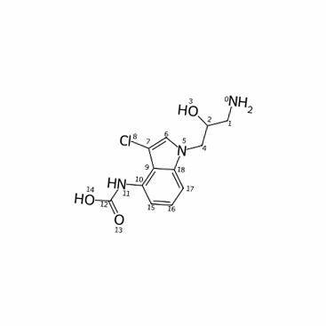 NCC(O)Cn1cc(Cl)c2c(NC(=O)O)cccc21